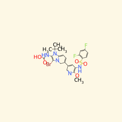 COc1ncc(C2=CC=C3N(C2)C(Br)=C(NC(=O)O)N3C(C)(C)C)cc1NS(=O)(=O)c1ccc(F)cc1F